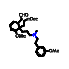 CCCCCCCCCCCCC1(CCCN(C)CCc2cccc(OC)c2)C(OC)=CC=CC1CC=O